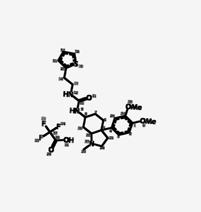 COc1ccc(C23CCC(NC(=O)NCCc4cccs4)CC2N(C)CC3)cc1OC.O=C(O)C(F)(F)F